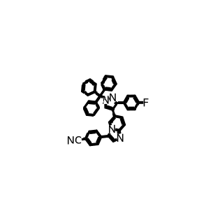 N#Cc1ccc(-c2cnc3ccc(-c4cn(C(c5ccccc5)(c5ccccc5)C5C=CC=CC5)nc4-c4ccc(F)cc4)cn23)cc1